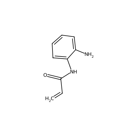 C=CC(=O)Nc1ccccc1N